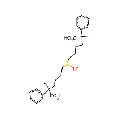 CC(CCCC[S+]([O-])CCCCC(C)(C(=O)O)c1ccccc1)(C(=O)O)c1ccccc1